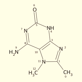 Cc1nc2[nH]c(=O)nc(N)c2n1C